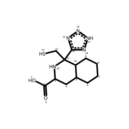 O=C(O)C1CC2CCCCC2C(CS)(c2nn[nH]n2)N1